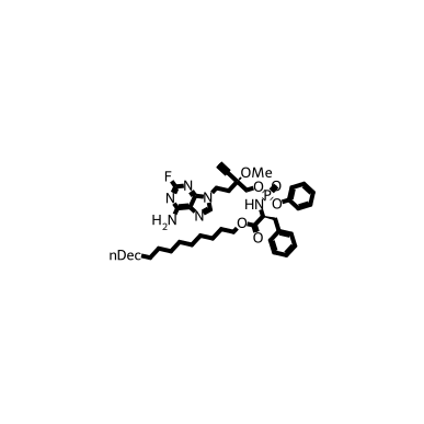 C#C[C@](CCn1cnc2c(N)nc(F)nc21)(COP(=O)(N[C@@H](Cc1ccccc1)C(=O)OCCCCCCCCCCCCCCCCCCC)Oc1ccccc1)OC